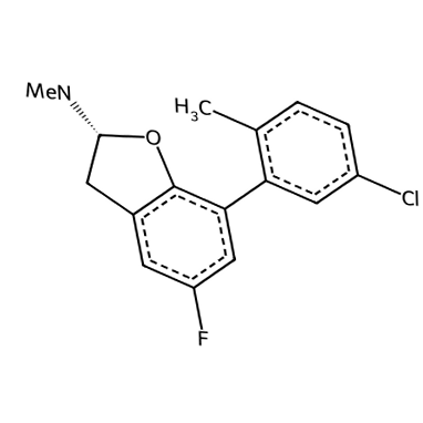 CN[C@H]1Cc2cc(F)cc(-c3cc(Cl)ccc3C)c2O1